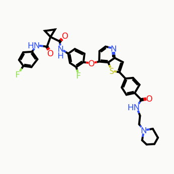 O=C(NCCN1CCCCC1)c1ccc(-c2cc3nccc(Oc4ccc(NC(=O)C5(C(=O)Nc6ccc(F)cc6)CC5)cc4F)c3s2)cc1